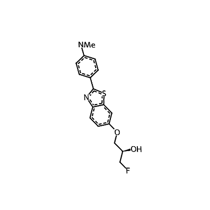 CNc1ccc(-c2nc3ccc(OC[C@@H](O)CF)cc3s2)cc1